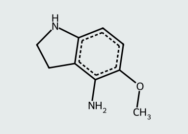 COc1ccc2c(c1N)CCN2